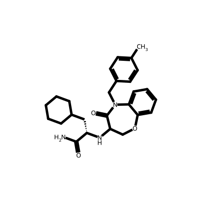 Cc1ccc(CN2C(=O)C(N[C@@H](CC3CCCCC3)C(N)=O)COc3ccccc32)cc1